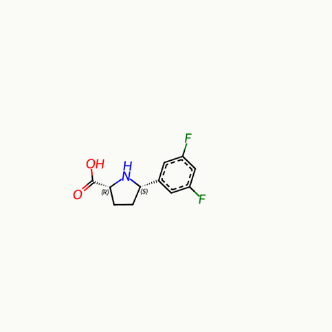 O=C(O)[C@H]1CC[C@@H](c2cc(F)cc(F)c2)N1